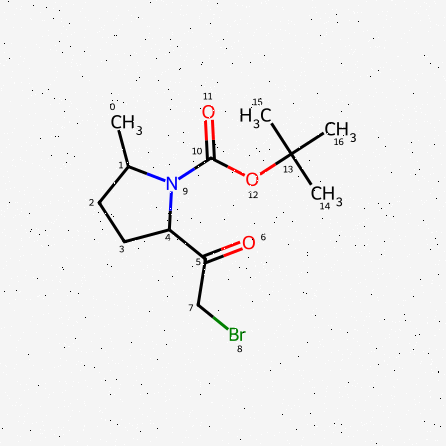 CC1CCC(C(=O)CBr)N1C(=O)OC(C)(C)C